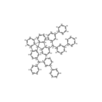 c1ccc(-c2cccc(N(c3ccccc3)c3ccc4c(c3)C3(c5ccccc5-4)c4ccccc4-c4c(N(c5cccc(-c6ccccc6)c5)c5cccc(-c6ccccc6)c5)cccc43)c2)cc1